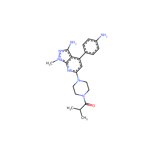 CC(C)C(=O)N1CCN(c2cc(-c3ccc(N)cc3)c3c(N)nn(C)c3n2)CC1